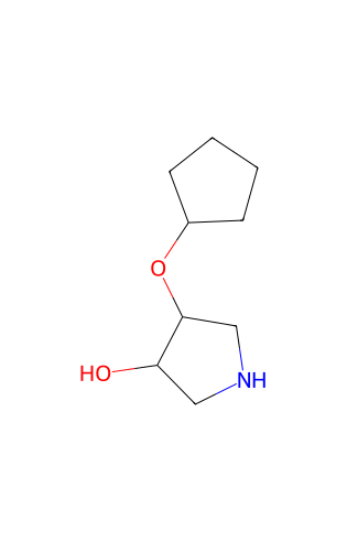 OC1CNCC1OC1CCCC1